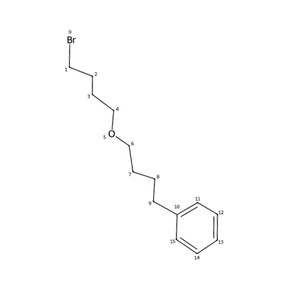 BrCCCCOCCCCc1ccccc1